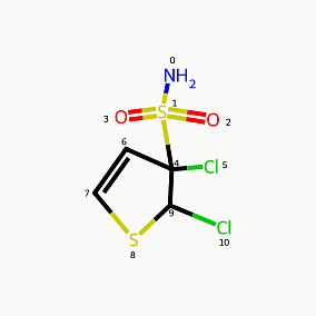 NS(=O)(=O)C1(Cl)C=CSC1Cl